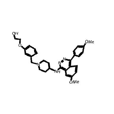 COc1ccc(-c2nnc(NC3CCN(Cc4cccc(OCCO)c4)CC3)c3cc(OC)ccc23)cc1